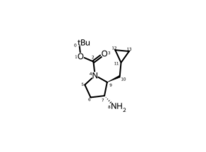 CC(C)(C)OC(=O)N1CC[C@@H](N)[C@@H]1CC1CC1